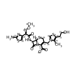 CO/N=C(\C(=O)N[C@@H]1C(=O)N2C(C(=O)[O-])=C(C[n+]3csc(CCO)c3C)CS[C@H]12)c1csc(N)n1